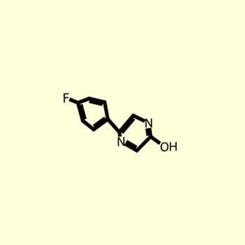 Oc1cnc(-c2ccc(F)cc2)cn1